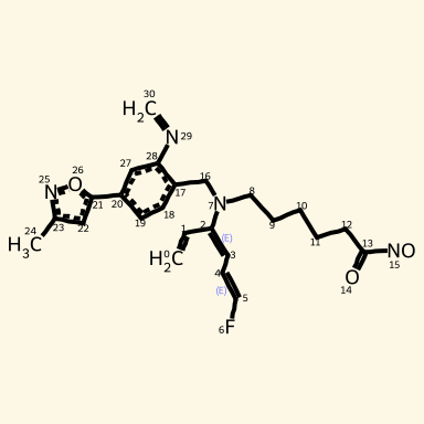 C=C/C(=C\C=C\F)N(CCCCCC(=O)N=O)Cc1ccc(-c2cc(C)no2)cc1N=C